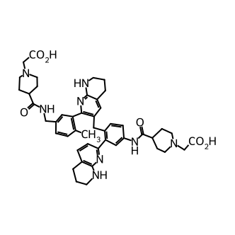 Cc1ccc(CNC(=O)C2CCN(CC(=O)O)CC2)cc1-c1nc2c(cc1Cc1ccc(NC(=O)C3CCN(CC(=O)O)CC3)cc1-c1ccc3c(n1)NCCC3)CCCN2